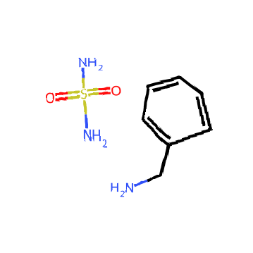 NCc1ccccc1.NS(N)(=O)=O